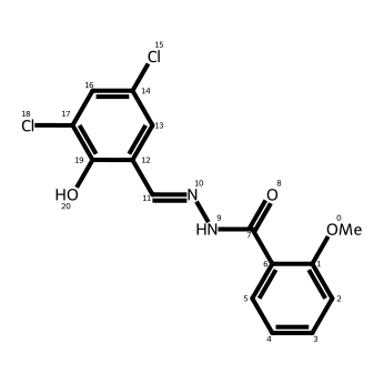 COc1ccccc1C(=O)N/N=C/c1cc(Cl)cc(Cl)c1O